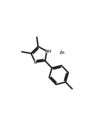 Cc1ccc(-c2nc(C)c(C)[nH]2)cc1.[Zn]